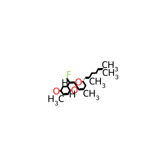 CC(C)=CCC/C(C)=C/[C@@H]1CC(C)=C[C@]2(C=C(CF)[C@H]3CC(=O)C(C)=C[C@H]3O2)O1